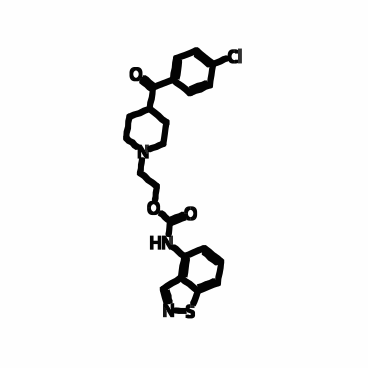 O=C(Nc1cccc2sncc12)OCCN1CCC(C(=O)c2ccc(Cl)cc2)CC1